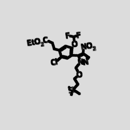 CCOC(=O)CCc1cc(OC(F)F)c(-c2c([N+](=O)[O-])cnn2COCC[Si](C)(C)C)cc1Cl